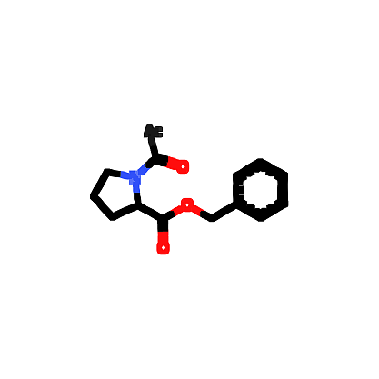 CC(=O)C(=O)N1CCCC1C(=O)OCc1ccccc1